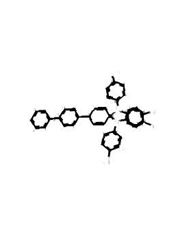 CCCCc1ccc(N(c2ccc(C(C)C)cc2)C2(N(c3ccc(CCCC)cc3)c3ccc(C(C)C)cc3)C=CC(c3ccc(-c4ccccc4)cc3)C=C2)cc1